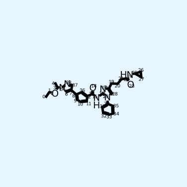 CCOC(C)n1cc(-c2cccc(C(=O)Nc3nc(CCCC(=O)NC4CC4)cn3-c3ccccc3)c2)cn1